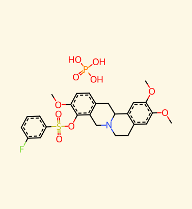 COc1cc2c(cc1OC)C1Cc3ccc(OC)c(OS(=O)(=O)c4cccc(F)c4)c3CN1CC2.O=P(O)(O)O